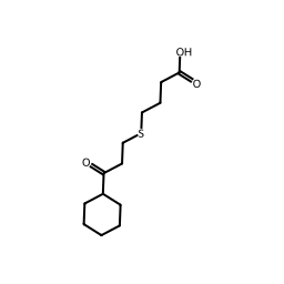 O=C(O)CCCSCCC(=O)C1CCCCC1